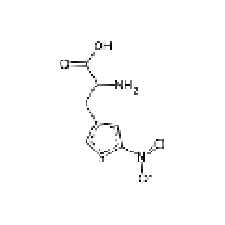 NC(Cc1csc([N+](=O)[O-])c1)C(=O)O